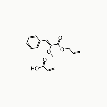 C=CC(=O)O.C=CCOC(=O)C(=Cc1ccccc1)OC